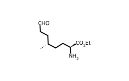 CCOC(=O)[C@@H](N)CC[C@H](C)CCC=O